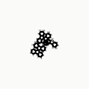 c1ccc2c(c1)-c1ccccc1C21c2ccccc2-c2c(N(c3ccc4sc5ccccc5c4c3)c3cccc4c3C3(c5ccccc5-c5ccccc53)c3ccccc3-4)cccc21